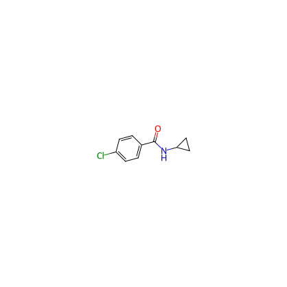 O=C(NC1CC1)c1ccc(Cl)cc1